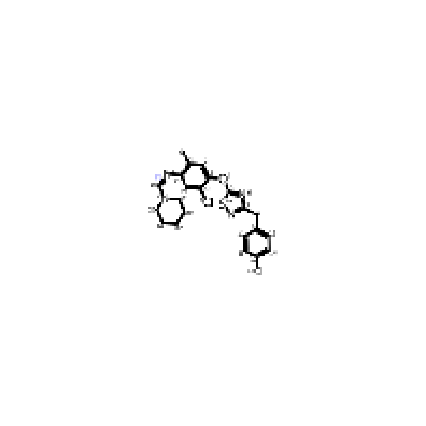 Cc1cc(Oc2nc(Cc3ccc(Cl)cc3)ns2)c(Cl)cc1/N=C\N1CCCCC1